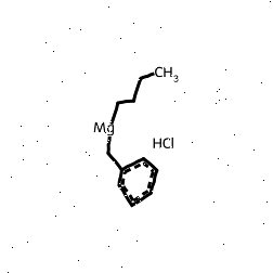 CCC[CH2][Mg][CH2]c1ccccc1.Cl